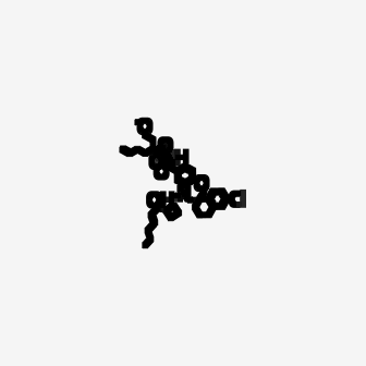 C=CCCC(CCOC)S(=O)(=O)NC(=O)c1ccc2c(c1)N(C[C@@H]1CC[C@H]1C(O)/C=C/CCC)C[C@@]1(CCCc3cc(Cl)ccc31)CO2